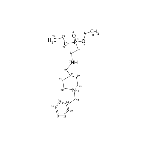 CCOP(=O)(CCNCC1CCN(Cc2ccccc2)CC1)OCC